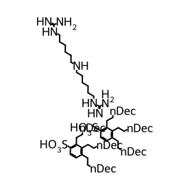 CCCCCCCCCCCCc1ccc(S(=O)(=O)O)c(CCCCCCCCCCCC)c1CCCCCCCCCCCC.CCCCCCCCCCCCc1ccc(S(=O)(=O)O)c(CCCCCCCCCCCC)c1CCCCCCCCCCCC.N=C(N)NCCCCCCNCCCCCCNC(=N)N